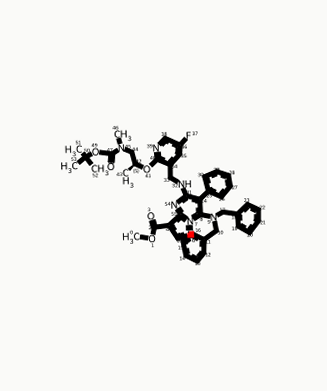 COC(=O)c1cnn2c(N(Cc3ccccc3)Cc3ccccc3)c(-c3ccccc3)c(NCc3cc(F)cnc3O[C@@H](C)CN(C)C(=O)OC(C)(C)C)nc12